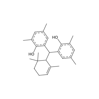 CC1=CCCC(C)(C)C1C(c1cc(C)cc(C)c1O)c1cc(C)cc(C)c1O